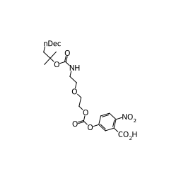 CCCCCCCCCCCC(C)(C)OC(=O)NCCOCCOC(=O)Oc1ccc([N+](=O)[O-])c(C(=O)O)c1